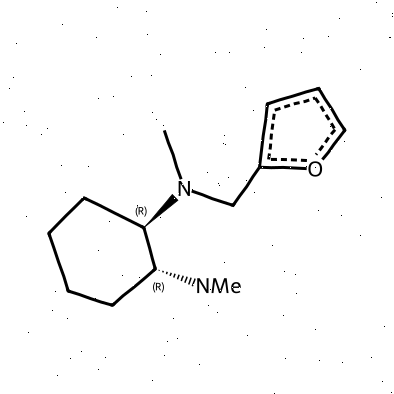 CN[C@@H]1CCCC[C@H]1N(C)Cc1ccco1